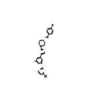 C#Cc1ccc(C(=O)N[C@H]2CC[C@@](O)(c3ncc(-c4cc(C)cc(Nc5nccc(C(F)(F)F)n5)c4)s3)CC2)cc1